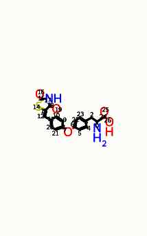 NC(Cc1ccc(Oc2ccc(C=C3SC(=O)NC3=O)cc2)cc1)C(=O)O